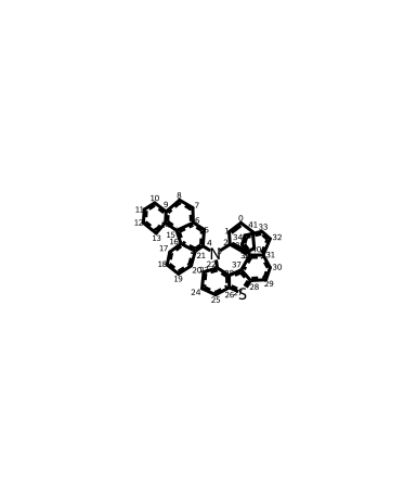 C1=CC(N(c2cc3ccc4ccccc4c3c3ccccc23)c2cccc3sc4ccc5ccccc5c4c23)=CCC1